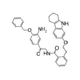 Nc1cc(C(=O)CNC(=O)c2ccccc2CCOc2ccc3c4c([nH]c3c2)CCCC4)ccc1OCc1ccccc1